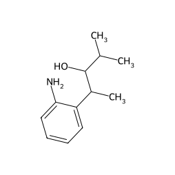 CC(C)C(O)C(C)c1ccccc1N